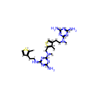 Cc1sccc1CCNc1nc(N)nc(N(C)Cc2scc(CCN(C)c3nc(N)nc(N)n3)c2C)n1